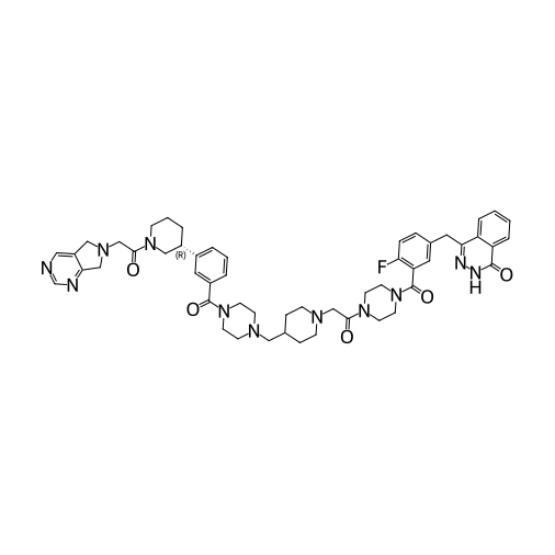 O=C(CN1CCC(CN2CCN(C(=O)c3cccc([C@H]4CCCN(C(=O)CN5Cc6cncnc6C5)C4)c3)CC2)CC1)N1CCN(C(=O)c2cc(Cc3n[nH]c(=O)c4ccccc34)ccc2F)CC1